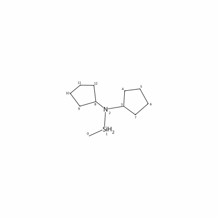 C[SiH2]N(C1CCCC1)C1CCCC1